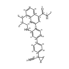 CNC(=O)c1ccnc2c(C(C)C(C)CNc3cc(-c4ccc(C5(C#N)CC5)cc4)ncn3)cccc12